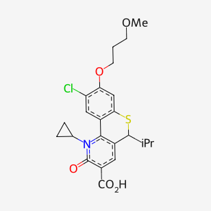 COCCCOc1cc2c(cc1Cl)-c1c(cc(C(=O)O)c(=O)n1C1CC1)C(C(C)C)S2